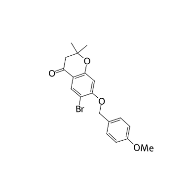 COc1ccc(COc2cc3c(cc2Br)C(=O)CC(C)(C)O3)cc1